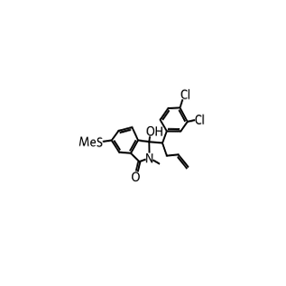 C=CCC(c1ccc(Cl)c(Cl)c1)C1(O)c2ccc(SC)cc2C(=O)N1C